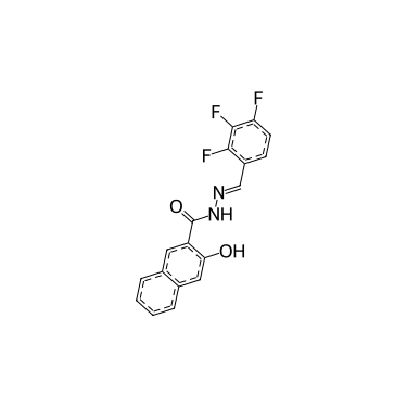 O=C(N/N=C/c1ccc(F)c(F)c1F)c1cc2ccccc2cc1O